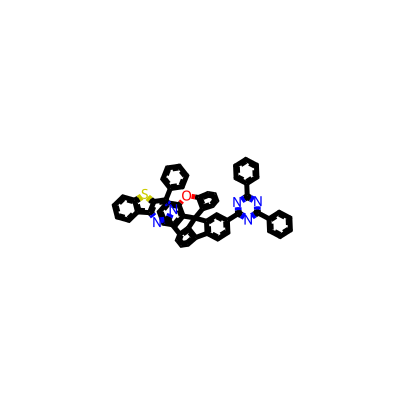 c1ccc(-c2nc(-c3ccccc3)nc(-c3ccc4c(c3)C3(c5ccccc5Oc5ccccc53)c3c(-c5nc(-c6ccccc6)c6sc7ccccc7c6n5)cccc3-4)n2)cc1